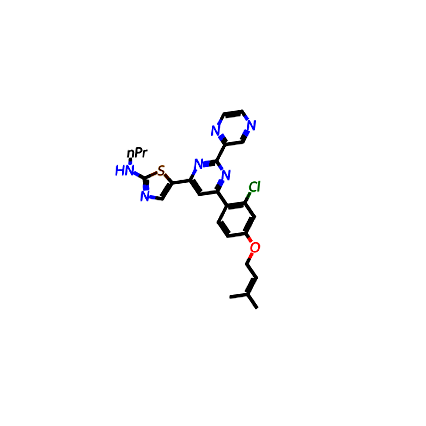 CCCNc1ncc(-c2cc(-c3ccc(OCC=C(C)C)cc3Cl)nc(-c3cnccn3)n2)s1